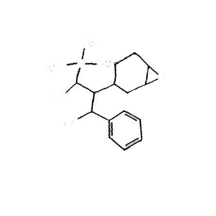 CO[Si](OC)(OC)C(C)C(C1CCC2OC2C1)C(C)c1ccccc1